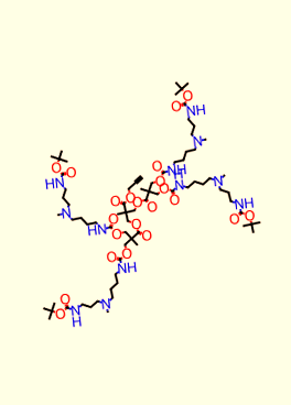 C#CCOC(=O)C(C)(COC(=O)C(C)(COC(=O)NCCCCN(C)CCCNC(=O)OC(C)(C)C)COC(=O)NCCCCN(C)CCCNC(=O)OC(C)(C)C)COC(=O)C(C)(COC(=O)NCCCCN(C)CCCNC(=O)OC(C)(C)C)COC(=O)NCCCCN(C)CCCNC(=O)OC(C)(C)C